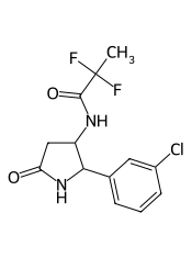 CC(F)(F)C(=O)NC1CC(=O)NC1c1cccc(Cl)c1